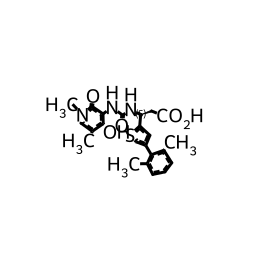 Cc1cn(C)c(=O)c(NC(=O)N[C@@H](CC(=O)O)c2cc(-c3c(C)cccc3C)cs2)c1O